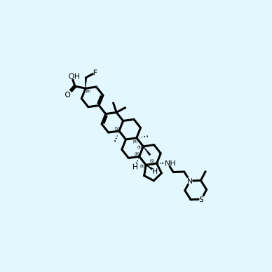 CC1CSCCN1CCN[C@]12CCC[C@@H]1[C@H]1CCC3[C@@]4(C)CC=C(C5=CC[C@@](CF)(C(=O)O)CC5)C(C)(C)C4CC[C@@]3(C)[C@]1(C)CC2